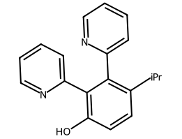 CC(C)c1ccc(O)c(-c2ccccn2)c1-c1ccccn1